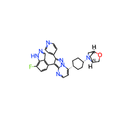 Fc1ccc(-c2c(-c3ccncc3)nn3c2nccc3[C@H]2CC[C@@H](N3C[C@@H]4C[C@H]3CO4)CC2)c2cn[nH]c12